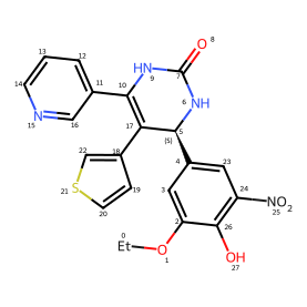 CCOc1cc([C@@H]2NC(=O)NC(c3cccnc3)=C2c2ccsc2)cc([N+](=O)[O-])c1O